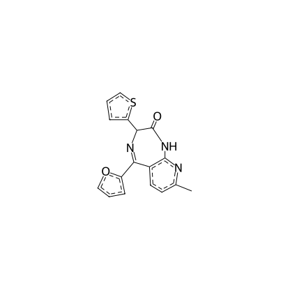 Cc1ccc2c(n1)NC(=O)C(c1cccs1)N=C2c1ccco1